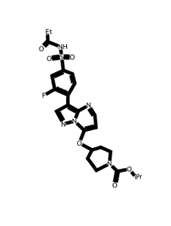 CCC(=O)NS(=O)(=O)c1ccc(-c2cnn3c(OC4CCN(C(=O)OC(C)C)CC4)ccnc23)c(F)c1